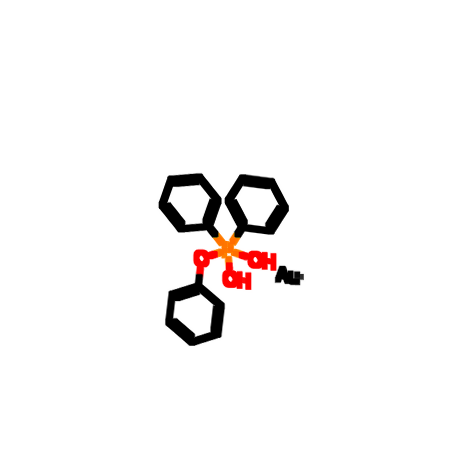 OP(O)(Oc1ccccc1)(c1ccccc1)c1ccccc1.[Au]